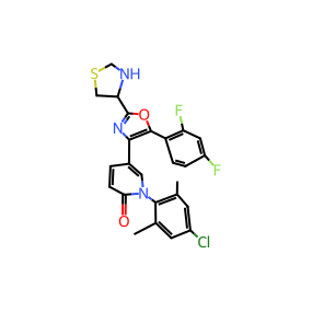 Cc1cc(Cl)cc(C)c1-n1cc(-c2nc(C3CSCN3)oc2-c2ccc(F)cc2F)ccc1=O